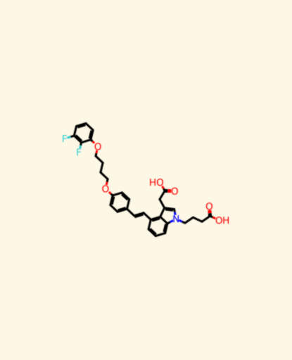 O=C(O)CCCn1cc(CC(=O)O)c2c(C=Cc3ccc(OCCCCOc4cccc(F)c4F)cc3)cccc21